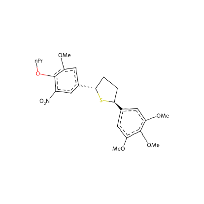 CCCOc1c(OC)cc([C@@H]2CC[C@@H](c3cc(OC)c(OC)c(OC)c3)S2)cc1[N+](=O)[O-]